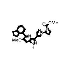 COC(=O)N1CCC1n1cc(-c2n[nH]c3cc(OC)c(-c4cccc5c4CCC5)nc23)cn1